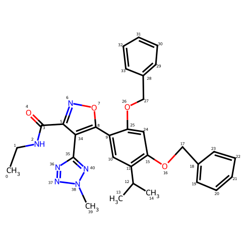 CCNC(=O)c1noc(-c2cc(C(C)C)c(OCc3ccccc3)cc2OCc2ccccc2)c1-c1nnn(C)n1